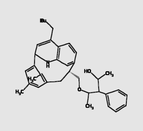 CCC(C)CC1=CC2Nc3cc(ccc31)[C@H](COC(C)C(c1ccccc1)C(C)O)Cc1cc(C)cc2c1C